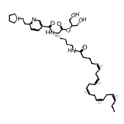 CC/C=C\C/C=C\C/C=C\C/C=C\C/C=C\CCCC(=O)NCCCC[C@H](NC(=O)c1ccc(CCN2CCCC2)nc1)C(=O)OC(CO)CO